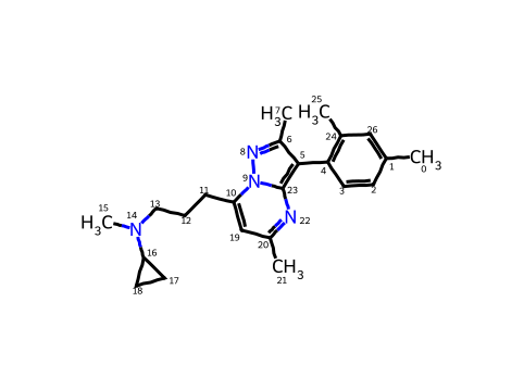 Cc1ccc(-c2c(C)nn3c(CCCN(C)C4CC4)cc(C)nc23)c(C)c1